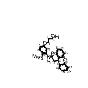 CSc1ccc(OCCCO)cc1NC(=O)CC1c2ccccc2Oc2ccccc21